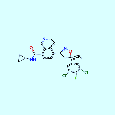 O=C(NC1CC1)c1ccc(C2=NO[C@@](c3cc(Cl)c(F)c(Cl)c3)(C(F)(F)F)C2)c2ccncc12